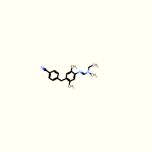 CCN(C)C=Nc1cc(C)c(Cc2ccc(C#N)cc2)cc1C